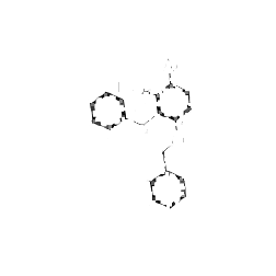 CC(=O)c1ccc(OCc2ccccc2)c(Cc2ccccc2)c1O